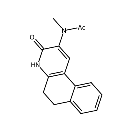 CC(=O)N(C)c1cc2c([nH]c1=O)CCc1ccccc1-2